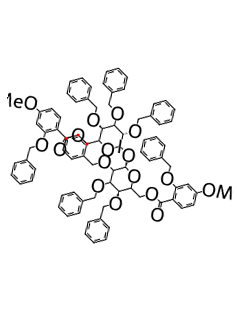 COc1ccc(C(=O)OCC2O[C@H](OI3OC(COC(=O)c4ccc(OC)cc4OCc4ccccc4)[C@@H](OCc4ccccc4)C(OCc4ccccc4)[C@@H]3OCc3ccccc3)C(OCc3ccccc3)C(OCc3ccccc3)[C@@H]2OCc2ccccc2)c(OCc2ccccc2)c1